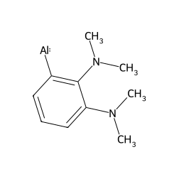 CN(C)c1ccc[c]([Al])c1N(C)C